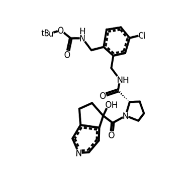 CC(C)(C)OC(=O)NCc1ccc(Cl)cc1CNC(=O)[C@@H]1CCCN1C(=O)C1(O)CCc2cnccc21